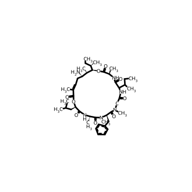 CCC(C)C1NC(=O)CN(C)C(=O)[C@@H](Cc2ccccc2)N(C)C(=O)[C@H](C)NC(=O)[C@@H](CC(C)C)OC(=O)/C(C)=C/C[C@H](N)[C@H](C)[C@@H]([C@@H](C)CC)OC(=O)[C@@H](C)NC1=O